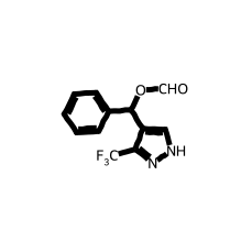 O=COC(c1ccccc1)c1c[nH]nc1C(F)(F)F